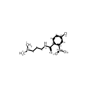 CN(C)CCCNC(=S)c1ccc(Cl)cc1[N+](=O)[O-]